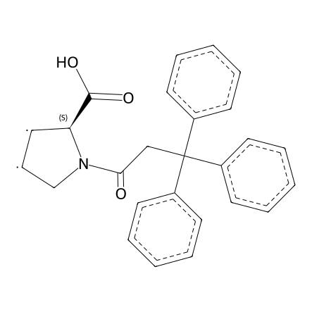 O=C(O)[C@@H]1[CH][CH]CN1C(=O)CC(c1ccccc1)(c1ccccc1)c1ccccc1